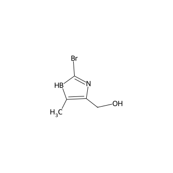 CC1=C(CO)N=C(Br)B1